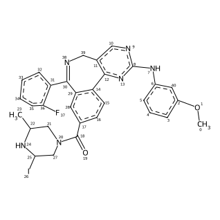 COc1cccc(Nc2ncc3c(n2)-c2ccc(C(=O)N4CC(C)NC(I)C4)cc2C(c2ccccc2F)=NC3)c1